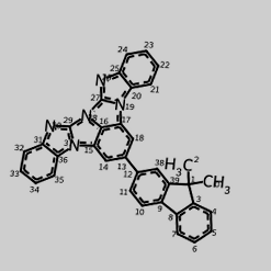 CC1(C)c2ccccc2-c2ccc(-c3cc4c5c(c3)n3c6ccccc6nc3n5c3nc5ccccc5n43)cc21